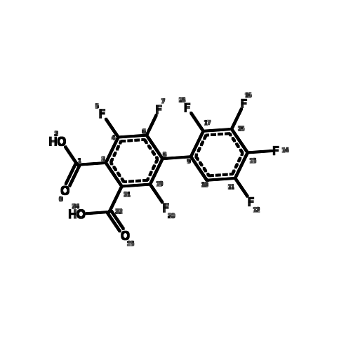 O=C(O)c1c(F)c(F)c(-c2cc(F)c(F)c(F)c2F)c(F)c1C(=O)O